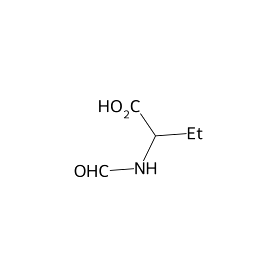 CCC(NC=O)C(=O)O